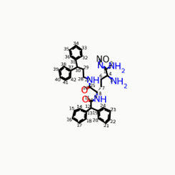 NC(=N[N+](=O)[O-])C(N)CC[C@H](NC(=O)C(c1ccccc1)c1ccccc1)C(=O)NCCC(c1ccccc1)c1ccccc1